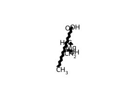 C=[CH][Mg][CH](O)C=C.CCCCCCCCCCCCCCCCCC(=O)O